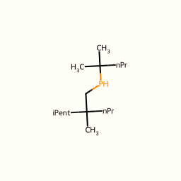 CCCC(C)C(C)(CCC)CPC(C)(C)CCC